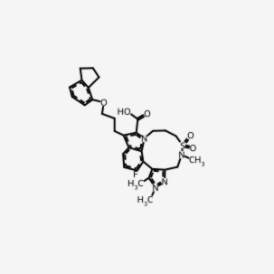 Cc1c2c(nn1C)CN(C)S(=O)(=O)CCCn1c(C(=O)O)c(CCCOc3cccc4c3CCC4)c3ccc(F)c-2c31